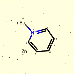 CCCC[n+]1ccccc1.[Zn]